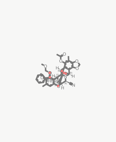 COCOc1c(OC)c(C)cc2c1[C@@H]1N[C@H](C2)[C@H](C#N)N2C1[C@@H]1SC[C@H](NC(=O)c3ccccc3)C(=O)OC[C@H]2c2c3c(c(C)c(OC(C)=O)c21)OCO3